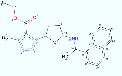 CCOC(=O)c1c(C)ncn1C1CCC(NC(C)c2cccc3ccccc23)C1